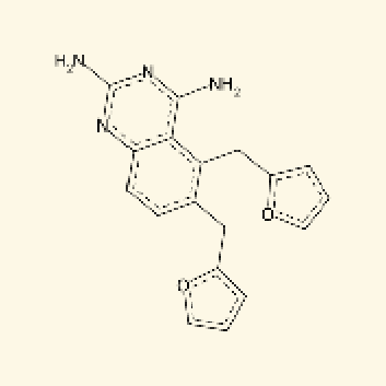 Nc1nc(N)c2c(Cc3ccco3)c(Cc3ccco3)ccc2n1